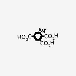 O=C(O)c1ccc(C(=O)O)c(C(=O)O)c1.[Ag]